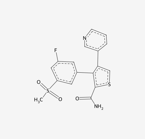 CS(=O)(=O)c1cc(F)cc(-c2c(-c3cccnc3)csc2C(N)=O)c1